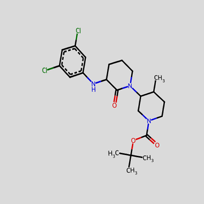 CC1CCN(C(=O)OC(C)(C)C)CC1N1CCCC(Nc2cc(Cl)cc(Cl)c2)C1=O